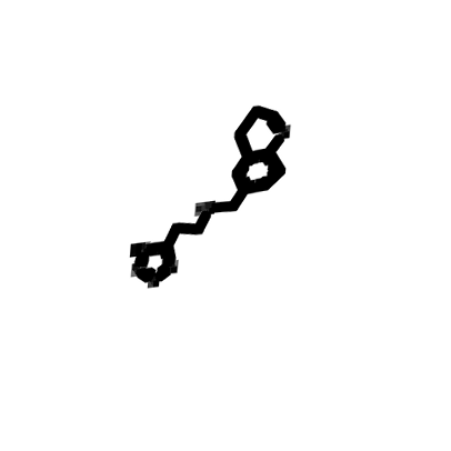 C1=Nc2ccc(CNCCc3nnn[nH]3)cc2CC1